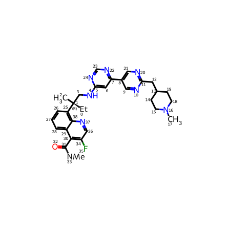 CC[C@@](C)(CNc1cc(-c2cnc(CC3CCN(C)CC3)nc2)ncn1)c1cccc2c(C(=O)NC)c(F)cnc12